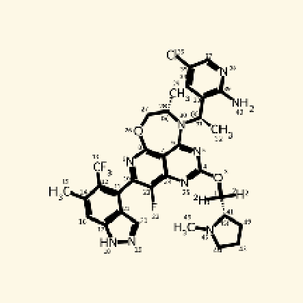 [2H]C([2H])(Oc1nc2c3c(nc(-c4c(C(F)(F)F)c(C)cc5[nH]ncc45)c(F)c3n1)OC[C@H](C)N2[C@H](C)c1cc(Cl)cnc1N)[C@@H]1CCCN1C